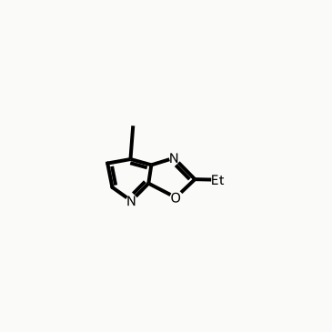 CCc1nc2c(C)ccnc2o1